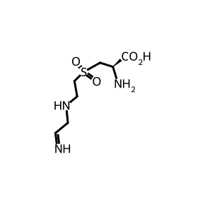 N=CCNCCS(=O)(=O)C[C@H](N)C(=O)O